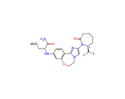 COCC(Nc1ccc2c(c1)OCCn1cc(N3C(=O)SCCC[C@H]3C(F)F)nc1-2)C(N)=O